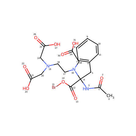 CC(=O)NC(Cc1ccccc1)(C(=O)OBr)N(CCN(CC(=O)O)CC(=O)O)CC(=O)O